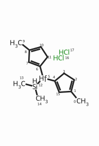 CC1=CC[C]([Hf]([C]2=CC(C)=CC2)[SiH](C)C)=C1.Cl.Cl